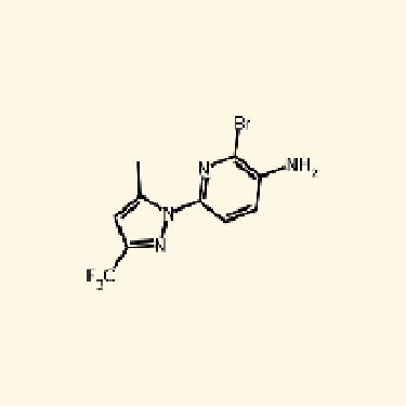 Cc1cc(C(F)(F)F)nn1-c1ccc(N)c(Br)n1